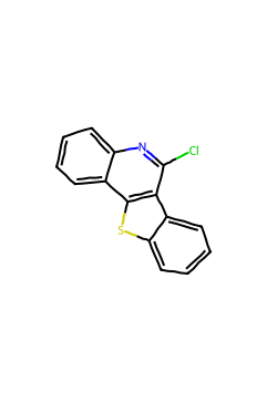 Clc1nc2ccccc2c2sc3ccccc3c12